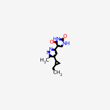 C=CC1CC1c1cc(-c2c[nH]c(=O)[nH]c2=O)nnc1C